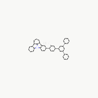 Cc1cc(-c2cc(-c3ccccc3)cc(-c3ccccc3)c2)ccc1-c1ccc2c(c1)c1cccc3c4ccccc4n2c31